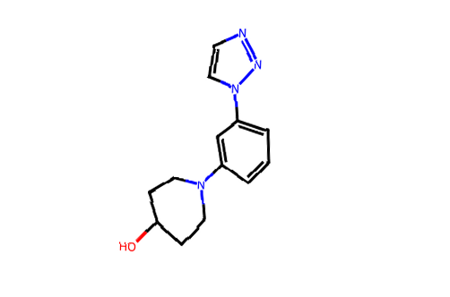 OC1CCN(c2cccc(-n3ccnn3)c2)CC1